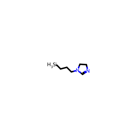 [SiH3]CCCN1C=NCC1